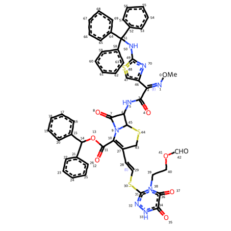 CO/N=C(/C(=O)NC1C(=O)N2C(C(=O)OC(c3ccccc3)c3ccccc3)=C(/C=C/Sc3n[nH]c(=O)c(=O)n3CCOC=O)CSC12)c1csc(NC(c2ccccc2)(c2ccccc2)c2ccccc2)n1